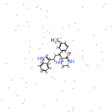 Cc1cccc(C(CCc2c[nH]c3ccccc23)[C@@H]2NCCNC2=O)c1